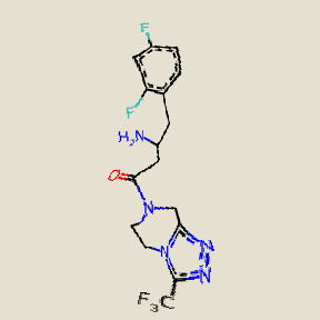 NC(CC(=O)N1CCn2c(nnc2C(F)(F)F)C1)Cc1ccc(F)cc1F